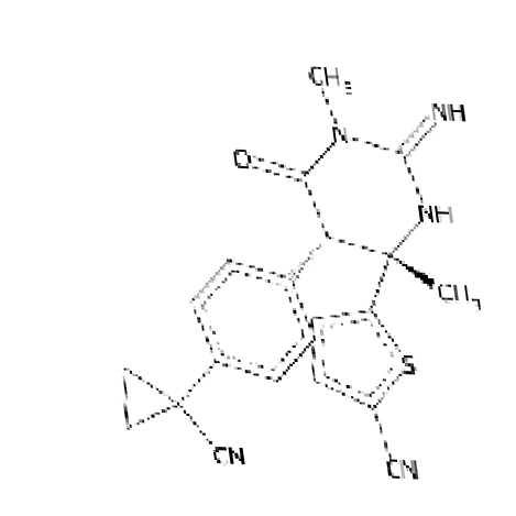 CN1C(=N)N[C@](C)(c2ccc(C#N)s2)[C@H](c2ccc(C3(C#N)CC3)cc2)C1=O